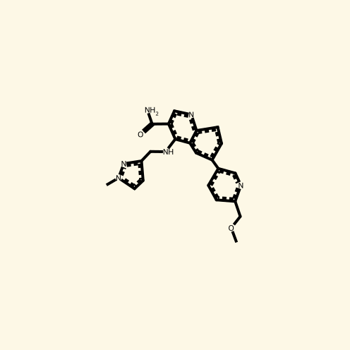 COCc1ccc(-c2ccc3ncc(C(N)=O)c(NCc4ccn(C)n4)c3c2)cn1